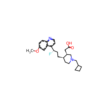 COc1ccc2nccc([C@@H](F)CC[C@@H]3CCN(CC4CCC4)C[C@@H]3CC(=O)O)c2c1